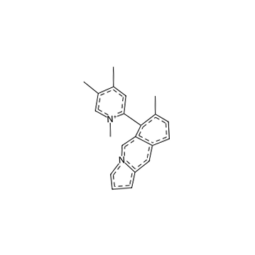 Cc1cc(-c2c(C)ccc3cc4cccn4cc23)[n+](C)cc1C